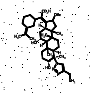 CC(=O)OC1CC2(C)[C@@H](C[C@@H](O)[C@H]3C4(C)CC[C@@H](O)[C@](C)(n5cc(CN)nn5)[C@@H]4CCC32C)/C1=C(/C(=O)O)C1CCCC(=C(C)C)C1